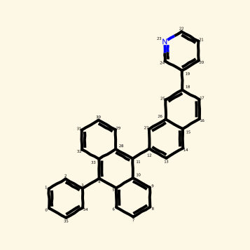 c1ccc(-c2c3ccccc3c(-c3ccc4ccc(-c5cccnc5)cc4c3)c3ccccc23)cc1